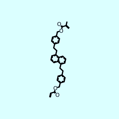 C=CC(=O)OCc1ccc(CCc2cccc3c(CCc4ccc(COC(=O)C(=C)C)cc4)cccc23)cc1